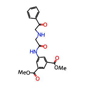 COC(=O)c1cc(NC(=O)CNCC(=O)c2ccccc2)cc(C(=O)OC)c1